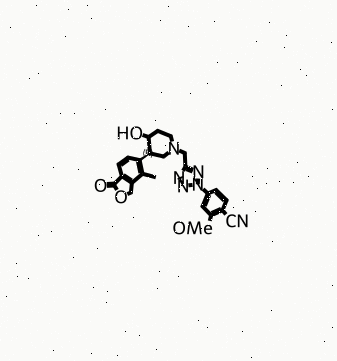 COc1cc(-n2nnc(CN3CCC(O)[C@H](c4ccc5c(c4C)COC5=O)C3)n2)ccc1C#N